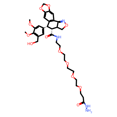 COc1cc([C@@H]2c3cc4c(cc3C3=NOCC3[C@@H]2C(=O)NCCOCCOCCOCCOCCC(=O)NN)OCO4)cc(CO)c1OC